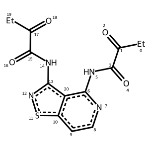 CCC(=O)C(=O)Nc1nccc2snc(NC(=O)C(=O)CC)c12